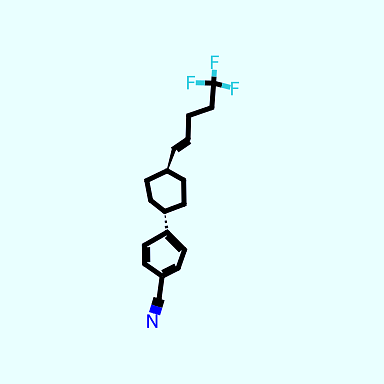 N#Cc1ccc([C@H]2CC[C@H](/C=C/CCC(F)(F)F)CC2)cc1